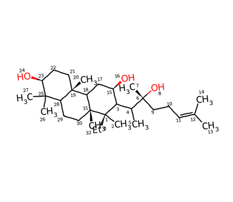 CC[C@]1(C)C(C(C)[C@](C)(O)CCC=C(C)C)[C@H](O)CC2[C@@]3(C)CC[C@H](O)C(C)(C)C3CC[C@]21C